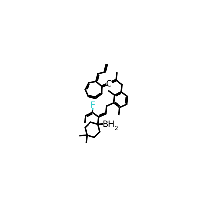 BC1(C(=C/Cc2c(C)ccc(CC(C)=C=C3C=C=CC=C/C3=C/C=C)c2C)/C(F)=C\C)CCC(C)(C)CC1